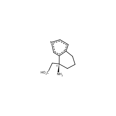 N[C@]1(CC(=O)O)CCCc2ccncc21